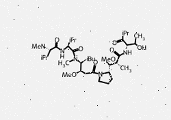 CC[C@H](C)[C@@H]([C@@H](CC(=O)N1CCC[C@H]1C(OC)[C@@H](C)C(=O)N[C@H](C(=O)C(C)C)C(C)O)OC)N(C)C(=O)[C@@H](NC(=O)[C@@H](NC)C(C)C)C(C)C